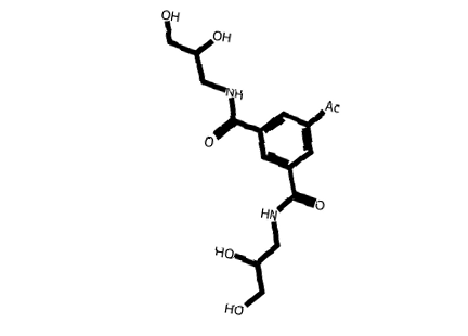 CC(=O)c1cc(C(=O)NCC(O)CO)cc(C(=O)NCC(O)CO)c1